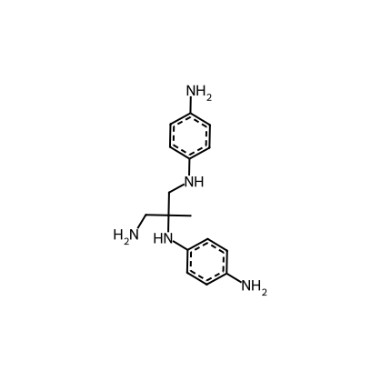 CC(CN)(CNc1ccc(N)cc1)Nc1ccc(N)cc1